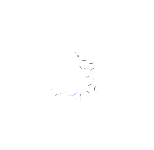 COC(=O)N1CC(c2nc(-c3cc(F)c(C)c(NC(=O)c4cnc5cc(C#N)ccn45)c3)no2)C1